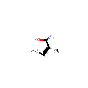 C.NC(=O)/C=C\C(=O)O